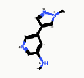 CNc1cncc(-c2cnn(C)c2)c1